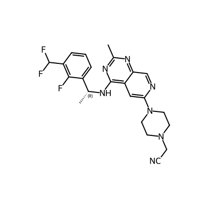 Cc1nc(N[C@H](C)c2cccc(C(F)F)c2F)c2cc(N3CCN(CC#N)CC3)ncc2n1